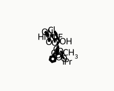 CC(C)OC(=O)[C@H](C)OP(=O)(OC[C@H]1O[C@@H](n2cnc(=O)[nH]c2=O)C(F)(C#CCl)[C@H]1O)Oc1ccccc1